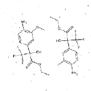 CCOC(=O)C(O)(c1ccc(N)c(C)c1)C(F)(F)F.CCOC(=O)C(O)(c1ccc(N)c(OC)c1)C(F)(F)F